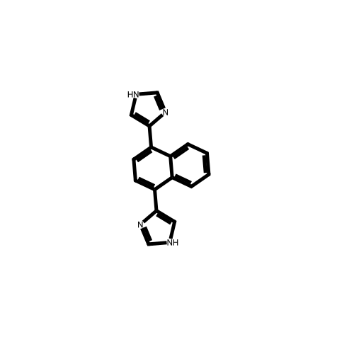 c1ccc2c(-c3c[nH]cn3)ccc(-c3c[nH]cn3)c2c1